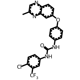 Cc1cnc2ccc(Oc3ccc(NC(=O)Nc4ccc(Cl)c(C(F)(F)F)c4)cc3)cc2n1